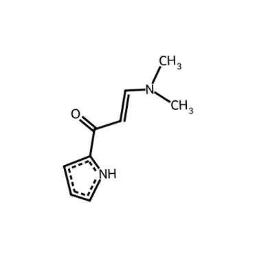 CN(C)/C=C/C(=O)c1ccc[nH]1